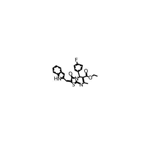 CCOC(=O)C1=C(C)N=c2s/c(=C/c3cc4ccccc4[nH]3)c(=O)n2C1c1ccc(F)cc1